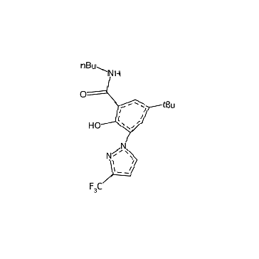 CCCCNC(=O)c1cc(C(C)(C)C)cc(-n2ccc(C(F)(F)F)n2)c1O